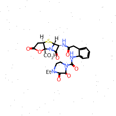 CCN1CCN(C(=O)Nc2ccccc2CC(=O)N[C@@H]2C(=O)N3[C@@H]2S[C@@H]2CC(=O)O[C@]23C(=O)O)C(=O)C1=O